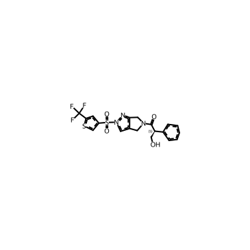 O=C([C@H](CO)c1ccccc1)N1Cc2cn(S(=O)(=O)c3csc(C(F)(F)F)c3)nc2C1